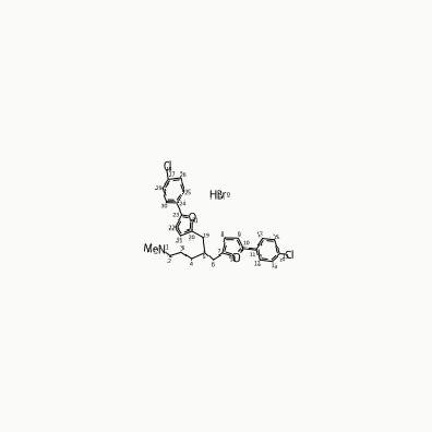 Br.CNCCCC(Cc1ccc(-c2ccc(Cl)cc2)o1)Cc1ccc(-c2ccc(Cl)cc2)o1